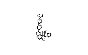 C=CC(=O)N1CCN(c2ccc(-c3ccc4ncc(Cl)c(NCc5ccccc5F)c4c3)cn2)CC1